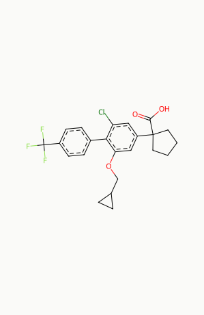 O=C(O)C1(c2cc(Cl)c(-c3ccc(C(F)(F)F)cc3)c(OCC3CC3)c2)CCCC1